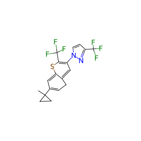 CC1(C2=CCC3=CC(n4ccc(C(F)(F)F)n4)=C(C(F)(F)F)SC3=C2)CC1